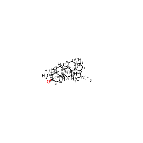 CC(C)[C@@H]1CC[C@]2(C)CC[C@]3(C)[C@H](CC[C@@H]4[C@@]5(C)CCC(=O)C(C)(C)[C@@H]5CC[C@]43C)[C@@H]12